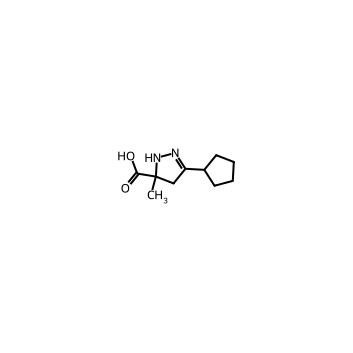 CC1(C(=O)O)CC(C2CCCC2)=NN1